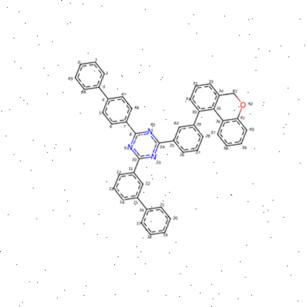 c1ccc(-c2ccc(-c3nc(-c4cccc(-c5ccccc5)c4)nc(-c4cccc(-c5cccc6c5-c5ccccc5OC6)c4)n3)cc2)cc1